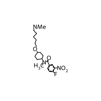 CNCCCCCCOC1CCC(N(C)C(=O)c2ccc(F)c([N+](=O)[O-])c2)CC1